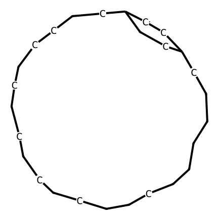 [CH]1CC2CCCCCCCCCCCCCCCCCCCCCC1CC2